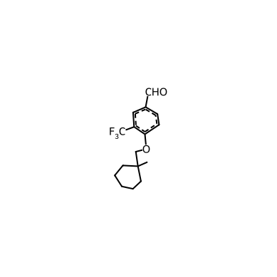 CC1(COc2ccc(C=O)cc2C(F)(F)F)CCCCC1